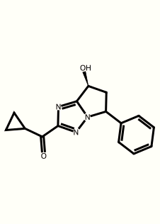 O=C(c1nc2n(n1)C(c1ccccc1)C[C@@H]2O)C1CC1